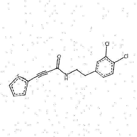 O=C(C#Cc1cccs1)NCCc1ccc(Cl)c(Cl)c1